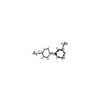 CC(=O)C1CCN(c2cncc(C(C)C)c2)CC1